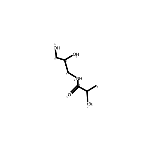 CC(C(=O)NCC(O)CO)C(C)(C)C